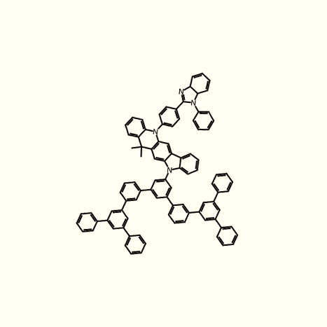 CC1(C)c2ccccc2N(c2ccc(C3=NC4C=CC=CC4N3c3ccccc3)cc2)c2cc3c4ccccc4n(-c4cc(-c5cccc(-c6cc(-c7ccccc7)cc(-c7ccccc7)c6)c5)cc(-c5cccc(-c6cc(-c7ccccc7)cc(-c7ccccc7)c6)c5)c4)c3cc21